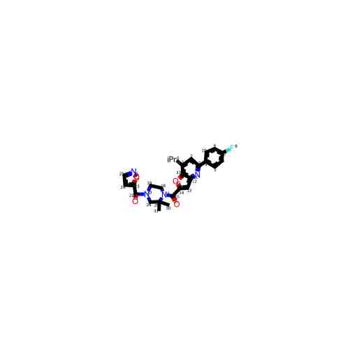 CC(C)c1cc(-c2ccc(F)cc2)nc2cc(C(=O)N3CCN(C(=O)c4ccno4)CC3(C)C)oc12